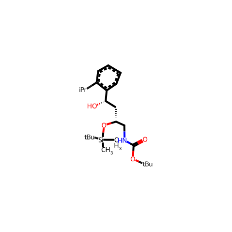 CC(C)c1ccccc1[C@@H](O)C[C@H](CNC(=O)OC(C)(C)C)O[Si](C)(C)C(C)(C)C